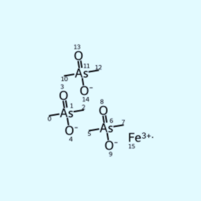 C[As](C)(=O)[O-].C[As](C)(=O)[O-].C[As](C)(=O)[O-].[Fe+3]